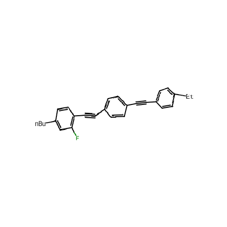 CCCCc1ccc(C#Cc2ccc(C#Cc3ccc(CC)cc3)cc2)c(F)c1